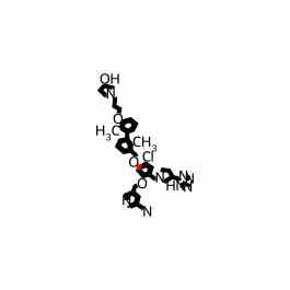 Cc1c(COc2cc(OCc3cncc(C#N)c3)c(CN3CCC(c4nnn[nH]4)C3)cc2Cl)cccc1-c1cccc(OCCCN2CCC(O)C2)c1C